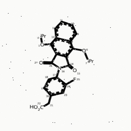 CC(C)Oc1c2c(c(OC(C)C)c3ccccc13)C(=O)N(c1ccc(CC(=O)O)cc1F)C2=O